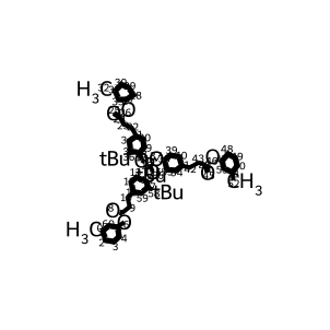 Cc1cccc(OC(=O)CCc2ccc(OP(Oc3ccc(CCC(=O)Oc4cccc(C)c4)cc3C(C)(C)C)Oc3ccc(CCC(=O)Oc4cccc(C)c4)cc3C(C)(C)C)c(C(C)(C)C)c2)c1